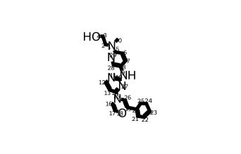 CN(CCO)c1ccc(Nc2nccc(N3C=COC(C4=CC=CCC4)=C3)n2)cn1